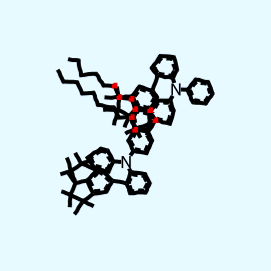 CCCCCCCCc1c(CCCCCCCC)c2cc(N(c3ccccc3)c3ccccc3-c3cc4c5c(c3)C(C)(C)C(C)(C)C5(C)C(C)(C)C4(C)C)ccc2c2ccc(N(c3ccccc3)c3ccccc3-c3cc4c5c(c3)C(C)(C)C(C)(C)C5(C)C(C)(C)C4(C)C)cc12